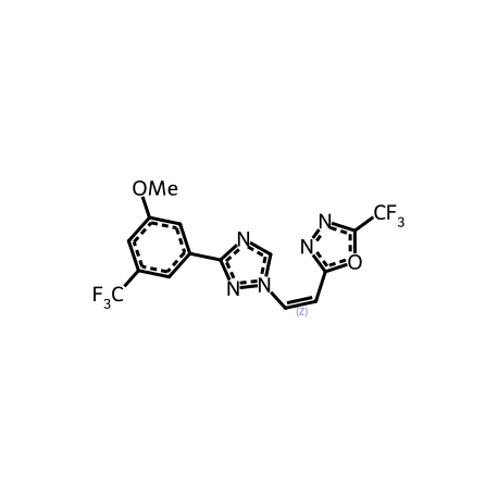 COc1cc(-c2ncn(/C=C\c3nnc(C(F)(F)F)o3)n2)cc(C(F)(F)F)c1